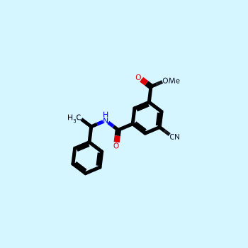 COC(=O)c1cc(C#N)cc(C(=O)NC(C)c2ccccc2)c1